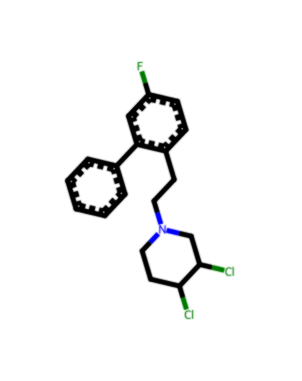 Fc1ccc(CCN2CCC(Cl)C(Cl)C2)c(-c2ccccc2)c1